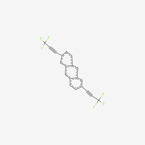 FC(F)(F)C#Cc1ccc2cc3cc(C#CC(F)(F)F)ccc3cc2c1